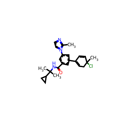 Cc1nccn1-c1cc(C(=O)NC(C)(C)C2CC2)cc(C2=CCC(C)(Cl)C=C2)c1